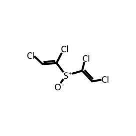 [O-][S+](C(Cl)=CCl)C(Cl)=CCl